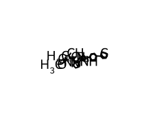 COC(=O)N[C@H](C(=O)N1CCCC1c1ncc(-c2ccc(-c3ccccc3)cc2)[nH]1)C(C)C